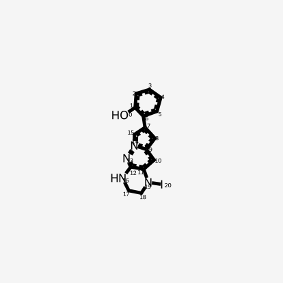 Oc1ccccc1-c1cc2cc3c(nn2c1)NCCN3I